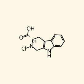 O=C(O)[C@@H]1Cc2c([nH]c3ccccc23)CN1Cl